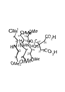 COCCNCCOC.COCCNCCOC.COCCNCCOC.O=C(O)CC(O)(CC(=O)O)C(=O)O